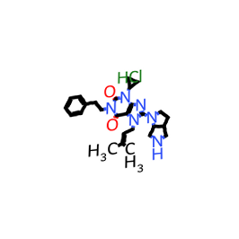 CC(C)=CCn1c(N2CCC3CNCC32)nc2c1c(=O)n(CCc1ccccc1)c(=O)n2C1CC1.Cl